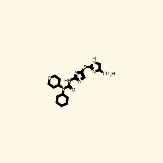 O=C(O)C1CNC(Sc2cnc(NC(=O)N(C3CCCCC3)C3CCOCC3)s2)=N1